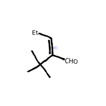 CC/C=C(/C=O)C(C)(C)C